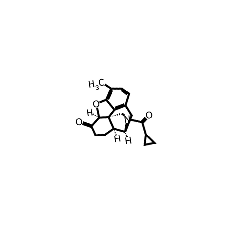 Cc1ccc2c3c1O[C@@H]1C(=O)CC[C@@H]4[C@H](C2)N(C(=O)C2CC2)CC[C@@]314